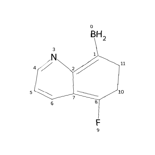 BC1=c2ncccc2=C(F)CC1